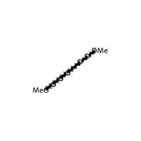 COCCCOCCCOCC[CH]CCCOCCCOCCCOCCCOC